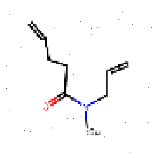 C=CCCC(=O)N(CC=C)C(C)(C)C